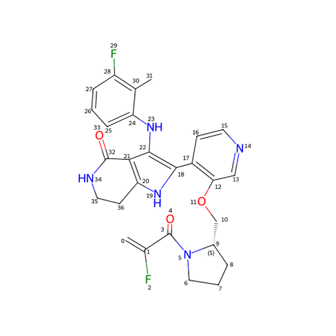 C=C(F)C(=O)N1CCC[C@H]1COc1cnccc1-c1[nH]c2c(c1Nc1cccc(F)c1C)C(=O)NCC2